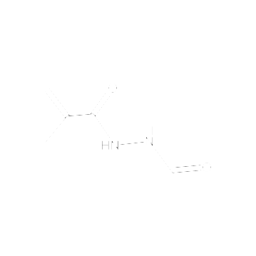 C=C(C)C(=O)NNC=O